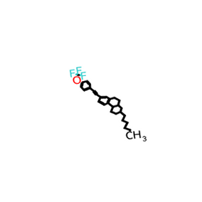 CCCCCCC1CCC2c3ccc(C#Cc4ccc(OC(F)(F)F)cc4)cc3CCC2C1